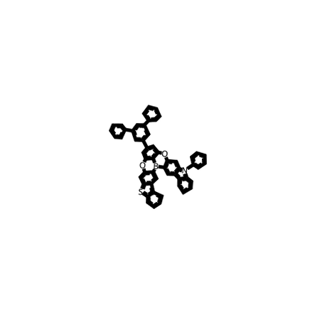 c1ccc(-c2cc(-c3ccccc3)cc(-c3cc4c5c(c3)Oc3cc6c(cc3B5c3cc5c(cc3O4)sc3ccccc35)c3ccccc3n6-c3ccccc3)c2)cc1